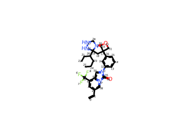 C=Cc1cc(C(F)(F)F)c2cn(-c3cccc(C4(CC5(C(CC)CCC)NNCN5C)COC4)c3)c(=O)n2c1